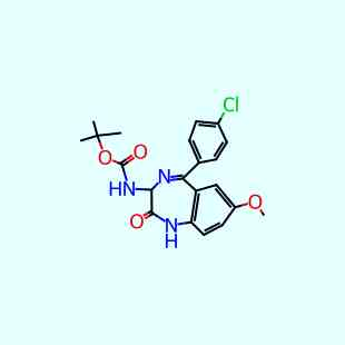 COc1ccc2c(c1)C(c1ccc(Cl)cc1)=NC(NC(=O)OC(C)(C)C)C(=O)N2